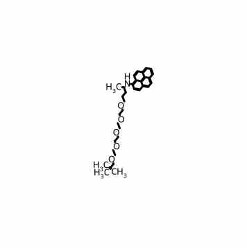 CC(CCCOCCOCCOCCOCCOCC(C)(C)C)Nc1ccc2ccc3cccc4ccc1c2c34